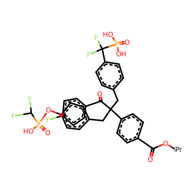 CC(C)OC(=O)c1ccc(C(Cc2ccc(OP(=O)(O)C(F)F)cc2)(Cc2ccc(C(F)(F)P(=O)(O)O)cc2)C(=O)c2ccc(F)cc2)cc1